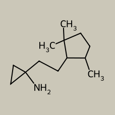 CC1CCC(C)(C)C1CCC1(N)CC1